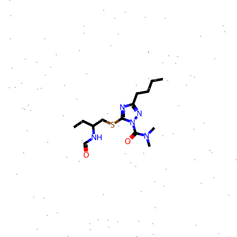 CCCCc1nc(SCC(CC)NC=O)n(C(=O)N(C)C)n1